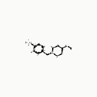 COC1CCN(Cc2ccc(N)nc2)CC1